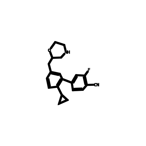 N#Cc1ccc(-c2cc(CC3CNCCO3)ccc2C2CC2)cc1F